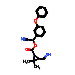 CC1(C)C(C=N)C1C(=O)OC(C#N)c1cccc(Oc2ccccc2)c1